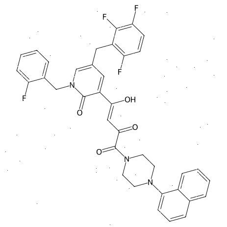 O=C(/C=C(\O)c1cc(Cc2c(F)ccc(F)c2F)cn(Cc2ccccc2F)c1=O)C(=O)N1CCN(c2cccc3ccccc23)CC1